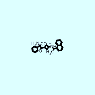 C[C@@H](NC1CC(C(=O)C(N)(C(=O)O)c2ccccc2)C1)c1cccc2ccccc12